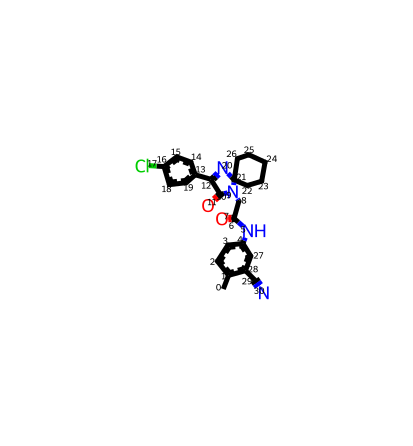 Cc1ccc(NC(=O)CN2C(=O)C(c3ccc(Cl)cc3)=NC23CCCCC3)cc1C#N